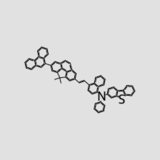 CC1(C)c2cc(/C=C/c3ccc(N(c4ccccc4)c4ccc5c(c4)sc4ccccc45)c4ccccc34)cc3ccc4cc(-c5cc6ccccc6c6ccccc56)cc1c4c23